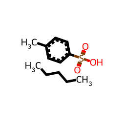 CCCCC.Cc1ccc(S(=O)(=O)O)cc1